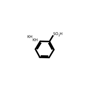 O=S(=O)(O)c1cc[c]cc1.[KH].[KH]